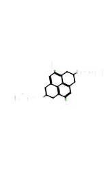 CCCCCC1Cc2cc(F)c3c4c(cc(F)c(c24)C1)CC(CCCCC)C3